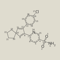 NS(=O)(=O)c1ccc(C2=CC3(C=C2c2ccc(Cl)cc2)CCCC3)nc1